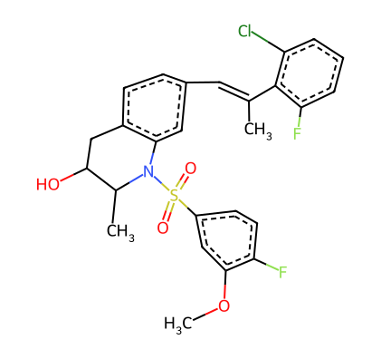 COc1cc(S(=O)(=O)N2c3cc(C=C(C)c4c(F)cccc4Cl)ccc3CC(O)C2C)ccc1F